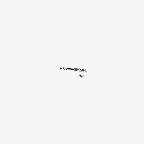 [Ag].[AlH3].[SiH3][SnH]